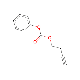 C#CCCOC(=O)Oc1ccccc1